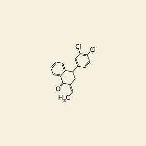 CC=C1CC(c2ccc(Cl)c(Cl)c2)c2ccccc2C1=O